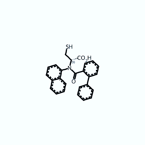 O=C(O)[C@@H](CS)N(C(=O)c1ccccc1-c1ccccc1)c1cccc2ccccc12